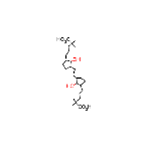 CC(C)(CCCC1CCC(CCC2CCC(CCCC(C)(C)C(=O)O)C2O)C1O)C(=O)O